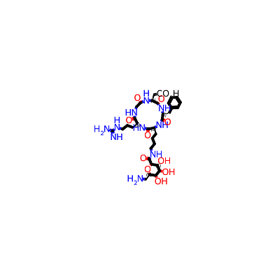 N=C(N)NCCC[C@@H]1NC(=O)[C@H](CCCCNC(=O)C2O[C@H](CN)C(O)C(O)[C@@H]2O)NC(=O)[C@@H](Cc2ccccc2)NC(=O)[C@H](CC(=O)O)NC(=O)CNC1=O